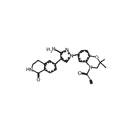 C#CC(=O)N1CC(C)(C)Oc2ccc(-n3cc(-c4ccc5c(c4)CCNC5=O)c(N)n3)cc21